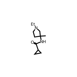 CCN1CCC(C)(NC(=O)C2CC2)C1